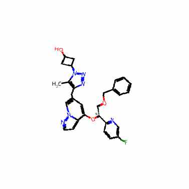 Cc1c(-c2cc(O[C@@H](COCc3ccccc3)c3ccc(F)cn3)c3ccnn3c2)nnn1C1CC(O)C1